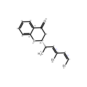 CC/C=C\C(=C\C(C)[C@H]1CC(=O)c2ccccc2O1)CC